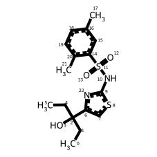 CCC(O)(CC)c1csc(NS(=O)(=O)c2cc(C)ccc2C)n1